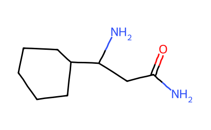 NC(=O)CC(N)C1CCCCC1